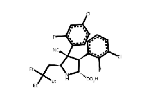 CCC(CC)(CC)C[C@@H]1N[C@@H](C(=O)O)[C@H](c2cccc(Cl)c2F)[C@@]1(C#N)c1ccc(Cl)cc1F